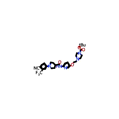 CC(C)(C)OC(=O)N1CCN(CCOc2ccc(NC(=O)C3CCN(c4ccc(C#N)c(C(F)(F)F)c4)CC3)nc2)CC1